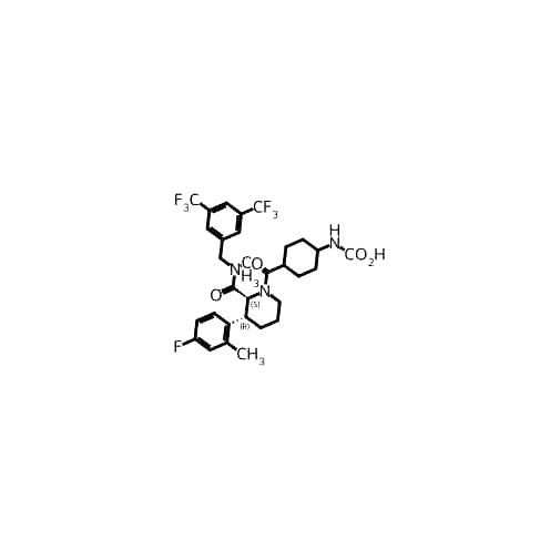 Cc1cc(F)ccc1[C@H]1CCCN(C(=O)C2CCC(NC(=O)O)CC2)[C@@H]1C(=O)N(C)Cc1cc(C(F)(F)F)cc(C(F)(F)F)c1